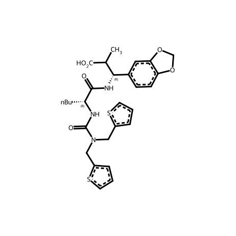 CCCC[C@@H](NC(=O)N(Cc1cccs1)Cc1cccs1)C(=O)N[C@@H](c1ccc2c(c1)OCO2)C(C)C(=O)O